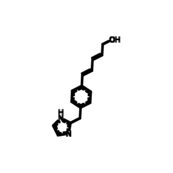 OCC=CC=Cc1ccc(Cc2ncc[nH]2)cc1